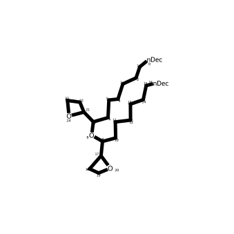 CCCCCCCCCCCCCCCCC(OC(CCCCCCCCCCCCCCCC)C1CCO1)C1CCO1